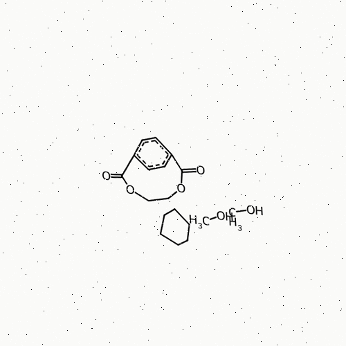 C1CCCCC1.CO.CO.O=C1OCCOC(=O)c2ccc1cc2